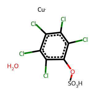 O.O=S(=O)(O)Oc1c(Cl)c(Cl)c(Cl)c(Cl)c1Cl.[Cu]